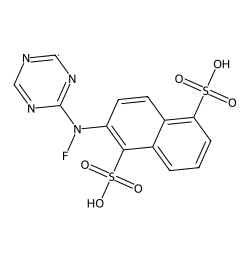 O=S(=O)(O)c1cccc2c(S(=O)(=O)O)c(N(F)c3n[c]ncn3)ccc12